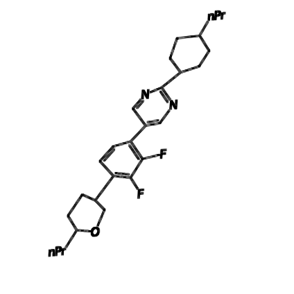 CCCC1CCC(c2ncc(-c3ccc(C4CCC(CCC)OC4)c(F)c3F)cn2)CC1